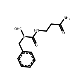 NC(=O)CCNC(=O)N([C]=O)Cc1ccccc1